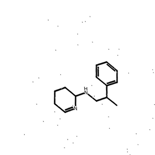 CC(CNC1CCCC=N1)c1ccccc1